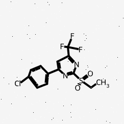 CCS(=O)(=O)c1nc(-c2ccc(Cl)cc2)cc(C(F)(F)F)n1